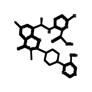 COC(=O)c1nc(Cl)ccc1N[C@H](C)c1cc(C)cc2c(=O)n(C)c(C3CCN(c4ncncc4OC)CC3)nc12